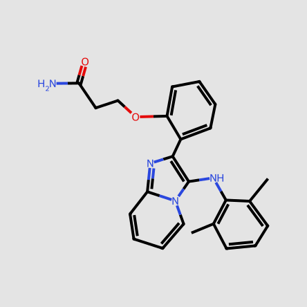 Cc1cccc(C)c1Nc1c(-c2ccccc2OCCC(N)=O)nc2ccccn12